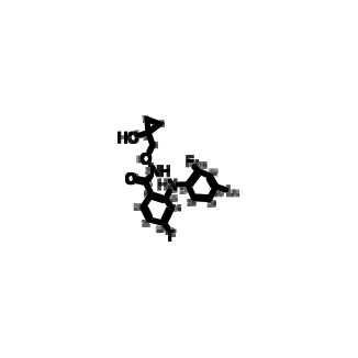 O=C(NOCC1(O)CC1)c1ccc(F)cc1Nc1ccc(I)cc1F